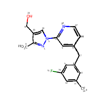 O=C(O)c1nn(-c2cc(Cc3cc(F)cc(C(F)(F)F)c3)ccn2)cc1CO